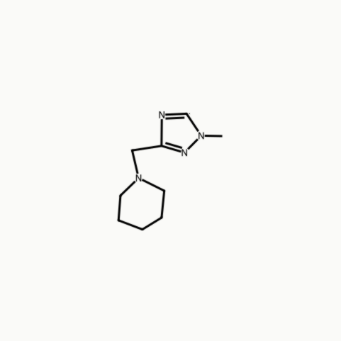 Cn1[c]nc(CN2CCCCC2)n1